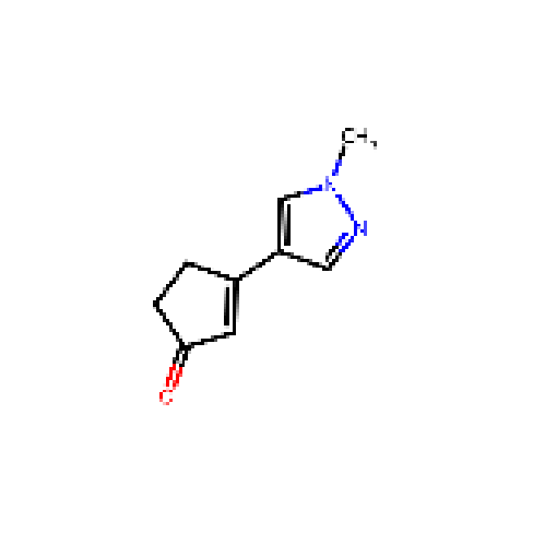 Cn1cc(C2=CC(=O)CC2)cn1